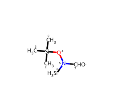 C[Si](C)(C)ON([SiH3])[C]=O